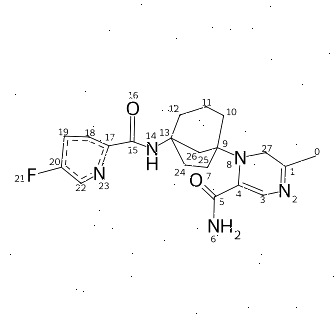 CC1=NC=C(C(N)=O)N(C23CCCC(NC(=O)c4ccc(F)cn4)(CC2)C3)C1